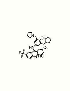 COc1ccc2nc3ccc(C(F)(F)F)cc3c(Nc3cc(CN4CCCC4)c(O)c(CN4CCCC4)c3)c2c1.Cl